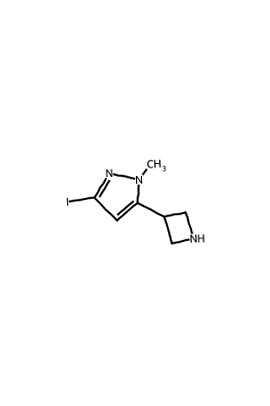 Cn1nc(I)cc1C1CNC1